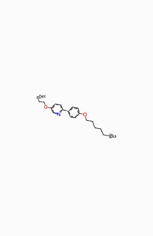 CCCCCCCCCCCCOc1ccc(-c2ccc(OCCCCCC(C)CC)cc2)nc1